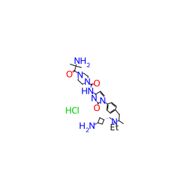 CCN(C[C@H]1C[C@H](N)C1)C(C)Cc1ccc(-n2ccc(NC(=O)N3CCN(C(=O)C(C)(C)N)CC3)nc2=O)cc1.Cl